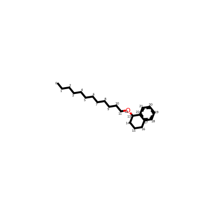 CCCCCCCCCCCCOC1CCCc2ccccc21